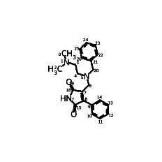 CN(C)CCN(CC1=C(c2ccccc2)C(=O)NC1=O)Cc1ccccc1